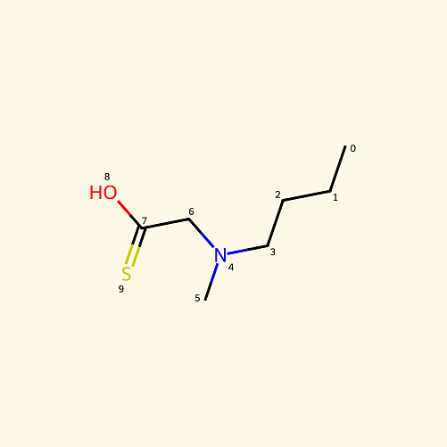 CCCCN(C)CC(O)=S